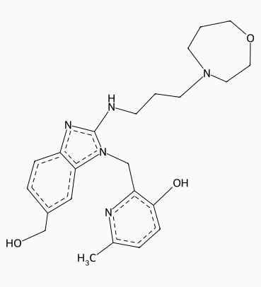 Cc1ccc(O)c(Cn2c(NCCCN3CCCOCC3)nc3ccc(CO)cc32)n1